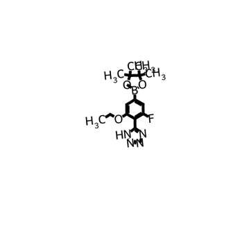 CCOc1cc(B2OC(C)(C)C(C)(C)O2)cc(F)c1-c1nnn[nH]1